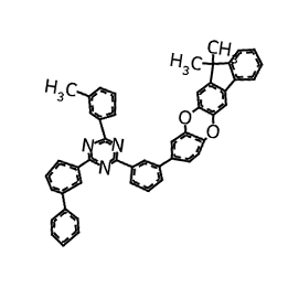 Cc1cccc(-c2nc(-c3cccc(-c4ccccc4)c3)nc(-c3cccc(-c4ccc5c(c4)Oc4cc6c(cc4O5)-c4ccccc4C6(C)C)c3)n2)c1